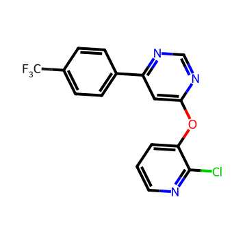 FC(F)(F)c1ccc(-c2cc(Oc3cccnc3Cl)ncn2)cc1